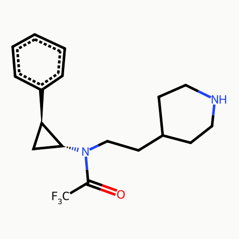 O=C(N(CCC1CCNCC1)[C@@H]1C[C@H]1c1ccccc1)C(F)(F)F